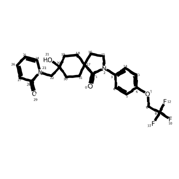 O=C1N(c2ccc(OCC(F)(F)F)cc2)CCC12CCC(O)(Cn1ccccc1=O)CC2